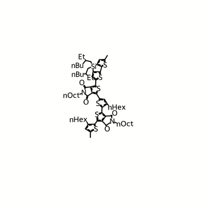 CCCCCCCCN1C(=O)c2c(-c3cc(CCCCCC)c(-c4sc(-c5sc(C)cc5CCCCCC)c5c4C(=O)N(CCCCCCCC)C5=O)s3)sc(-c3cc4c(s3)-c3sc(C)cc3[Si]4(CC(CC)CCCC)CC(CC)CCCC)c2C1=O